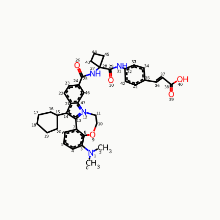 CN(C)c1cccc2c1OCCn1c-2c(C2CCCCC2)c2ccc(C(=O)NC3(C(=O)Nc4ccc(C=CC(=O)O)cc4)CCC3)cc21